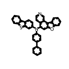 c1ccc(-c2ccc(N(c3ccc4c(c3)sc3ccccc34)c3cc4oc5ccccc5c4c4cnccc34)cc2)cc1